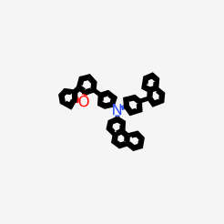 c1ccc2c(-c3ccc(N(c4ccc(-c5cccc6c5oc5ccccc56)cc4)c4ccc5ccc6ccccc6c5c4)cc3)cccc2c1